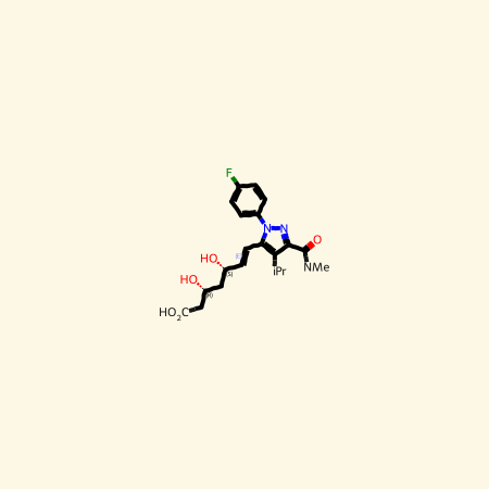 CNC(=O)c1nn(-c2ccc(F)cc2)c(/C=C/[C@@H](O)C[C@@H](O)CC(=O)O)c1C(C)C